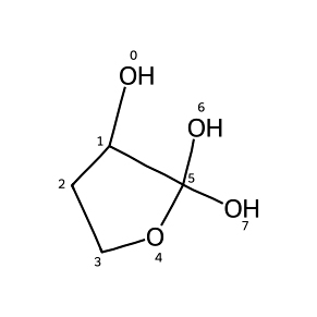 OC1CCOC1(O)O